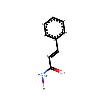 O=C(C=Cc1ccccc1)NI